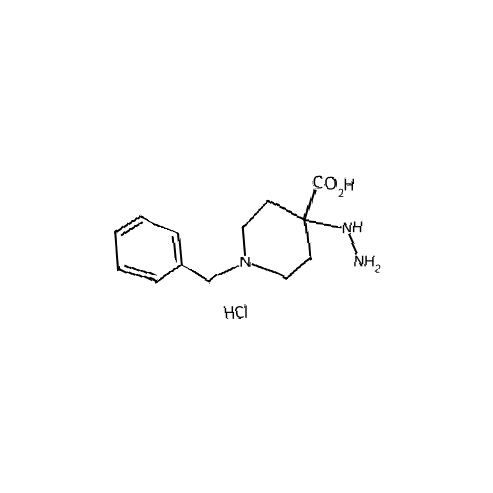 Cl.NNC1(C(=O)O)CCN(Cc2ccccc2)CC1